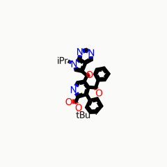 CC(C)n1cc(C(=O)c2cnc(C(=O)OC(C)(C)C)c(-c3cc[c]cc3)c2C(=O)c2ccccc2)c2cncnc21